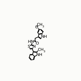 COc1ccc2[nH]cc(CC(=O)Nc3nc(-c4c(C)[nH]c5ccccc45)cs3)c2c1